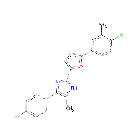 Cc1[nH]c(-c2ccc(-c3ccc(Cl)c(C(F)(F)F)c3)o2)nc1C1C=CC(F)=CC1